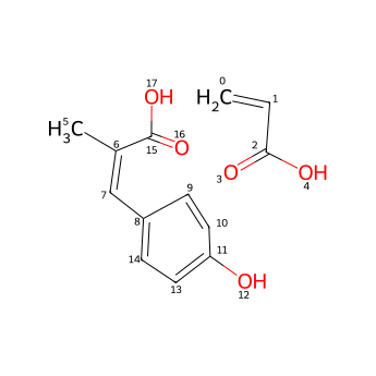 C=CC(=O)O.CC(=Cc1ccc(O)cc1)C(=O)O